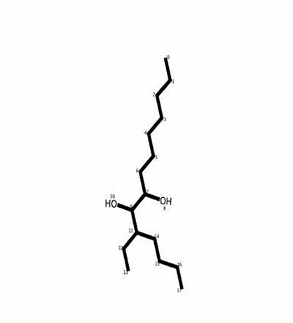 CCCCCCCC(O)C(O)C(CC)CCCC